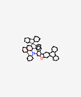 c1ccc(-c2ccccc2N(c2cccc3c2-c2ccccc2C32c3ccccc3-c3ccccc32)c2cc3oc4cc5c6ccccc6c6ccccc6c5cc4c3c3ccccc23)cc1